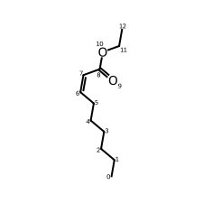 CCCCCC/C=C\C(=O)OCC